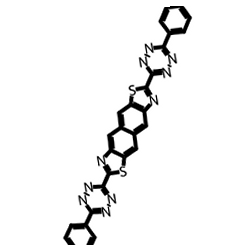 c1ccc(-c2nnc(-c3nc4cc5cc6sc(-c7nnc(-c8ccccc8)nn7)nc6cc5cc4s3)nn2)cc1